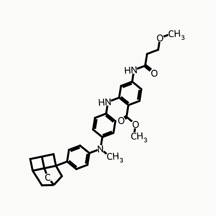 COCCC(=O)Nc1ccc(C(=O)OC)c(Nc2ccc(N(C)c3ccc(C45CC6CC7CC(C4)C75C6)cc3)cc2)c1